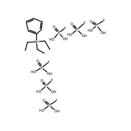 CC[N+](CC)(CC)c1ccccc1.O=P(O)(O)F.O=P(O)(O)F.O=P(O)(O)F.O=P(O)(O)F.O=P(O)(O)F.O=P(O)(O)F